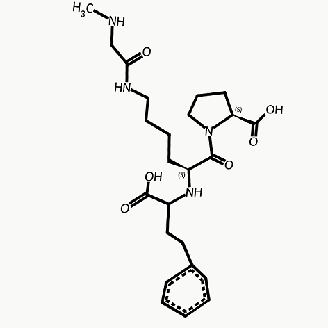 CNCC(=O)NCCCC[C@H](NC(CCc1ccccc1)C(=O)O)C(=O)N1CCC[C@H]1C(=O)O